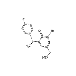 C[C@@H](c1ccc(F)cc1)n1cc(CO)cc(Br)c1=O